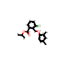 Cc1ccc(OCc2c(Cl)cccc2C(=O)OC(C)C)c(C)c1